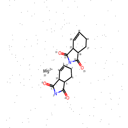 O=C1[N-]C(=O)C2CCC=CC12.O=C1[N-]C(=O)C2CCC=CC12.[Mg+2]